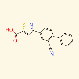 N#Cc1cc(-c2cc(C(=O)O)sn2)ccc1-c1ccccc1